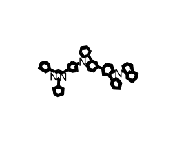 C1=CCC2C(=C1)N(c1ccc(-c3cc(-c4ccccc4)nc(-c4ccccc4)n3)cc1)c1ccc(-c3ccc4c(c3)c3ccccc3n4-c3cccc4ccccc34)cc12